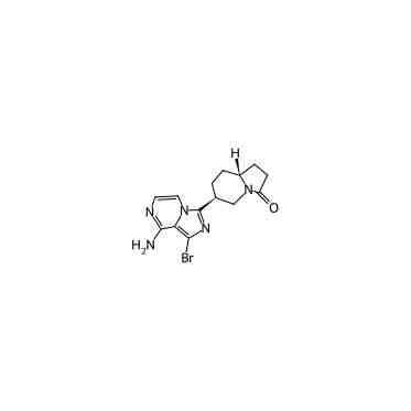 Nc1nccn2c([C@H]3CC[C@@H]4CCC(=O)N4C3)nc(Br)c12